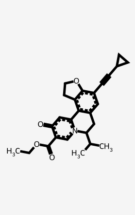 CCOC(=O)c1cn2c(cc1=O)-c1c(cc(C#CC3CC3)c3c1CCO3)CC2C(C)C